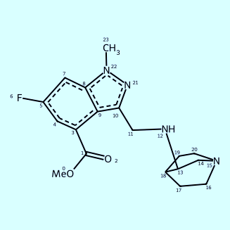 COC(=O)c1cc(F)cc2c1c(CNC1CN3CCC1CC3)nn2C